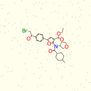 CCOC(=O)c1cc(-c2ccc(C(=O)CBr)cc2)oc1N(C(=O)C1CCC(C)CC1)C1CCOC1